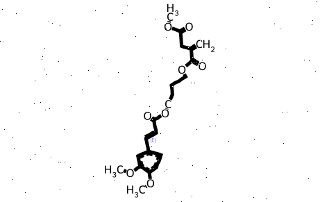 C=C(CC(=O)OC)C(=O)OCCCCOC(=O)/C=C/c1ccc(OC)c(OC)c1